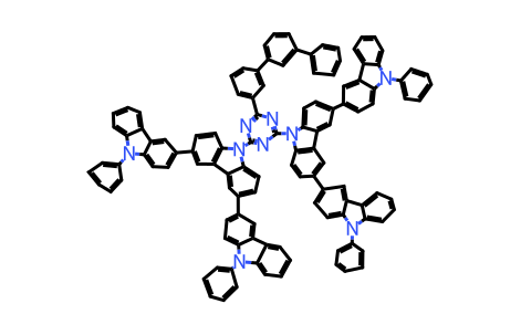 c1ccc(-c2cccc(-c3cccc(-c4nc(-n5c6ccc(-c7ccc8c(c7)c7ccccc7n8-c7ccccc7)cc6c6cc(-c7ccc8c(c7)c7ccccc7n8-c7ccccc7)ccc65)nc(-n5c6ccc(-c7ccc8c(c7)c7ccccc7n8-c7ccccc7)cc6c6cc(-c7ccc8c(c7)c7ccccc7n8-c7ccccc7)ccc65)n4)c3)c2)cc1